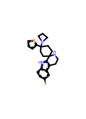 Fc1ccc2[nH]c3c(c2c1)CCNC31CCC(c2cccs2)(N2CCC2)CC1